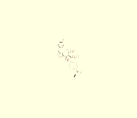 CC#CC(=O)N1CCCC(n2nc(-c3cnn(Cc4ccc(F)cc4)c3)c(C(N)=O)c2N)CCC1